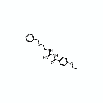 CCOc1ccc(C(=O)NC(=N)NCCSCc2ccccc2)cc1